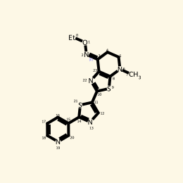 CCO/N=C1\CCN(C)c2sc(-c3cnc(-c4cccnc4)s3)nc21